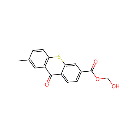 Cc1ccc2sc3cc(C(=O)OCO)ccc3c(=O)c2c1